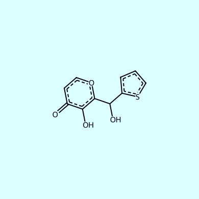 O=c1ccoc(C(O)c2cccs2)c1O